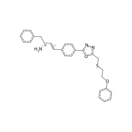 N[C@@H](/C=C/c1ccc(-c2nnc(CSCCOc3ccccc3)o2)cc1)Cc1ccccc1